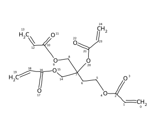 C=CC(=O)OCCC(COC(=O)C=C)(COC(=O)C=C)OC(=O)C=C